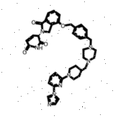 O=C1C=C[C@H](N2Cc3c(OCc4ccc(CN5CCN(CC6CCN(c7cccc(-n8ccnc8)n7)CC6)CC5)cc4)cccc3C2=O)C(=O)N1